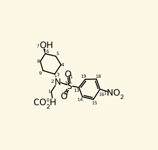 O=C(O)CN([C@H]1CC[C@H](O)CC1)S(=O)(=O)c1ccc([N+](=O)[O-])cc1